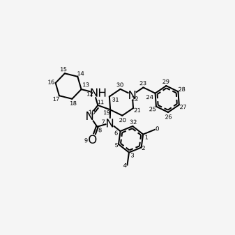 Cc1cc(C)cc(N2C(=O)N=C(NC3CCCCC3)C23CCN(Cc2ccccc2)CC3)c1